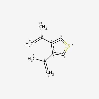 C=C(C)c1cscc1C(=C)C